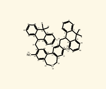 CC1(C)c2ccccc2C(Cc2cc3c(cc2C#N)COCc2cc(C#N)c(CC4c5ccccc5C(C)(C)c5ccccc54)cc2-3)c2ccccc21